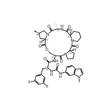 C[C@@H]1C[C@H]2C(=O)OC[C@H](NC(=O)[C@H](Cc3cc(F)cc(F)c3)NC(=O)Nc3ccc4ccn(C)c4c3)C(=O)N3CCC[C@H]3C(=O)N3CCCC[C@H]3C(=O)N[C@@H](C)C(=O)N2C1